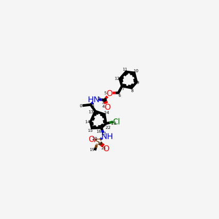 CC(NC(=O)OCc1ccccc1)c1ccc(NS(C)(=O)=O)c(Cl)c1